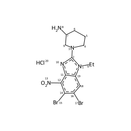 CCn1c(N2CCCC(N)C2)nc2c([N+](=O)[O-])c(Br)c(Br)cc21.Cl